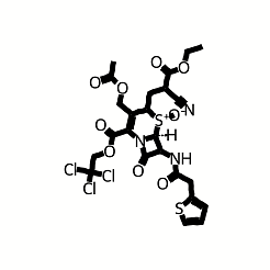 CCOC(=O)C(C#N)CC1C(COC(C)=O)=C(C(=O)OCC(Cl)(Cl)Cl)N2C(=O)C(NC(=O)Cc3cccs3)[C@@H]2[S+]1[O-]